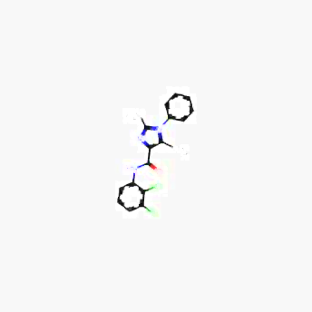 Cc1nc(C(=O)Nc2cccc(Cl)c2Cl)c(C)n1-c1ccccc1